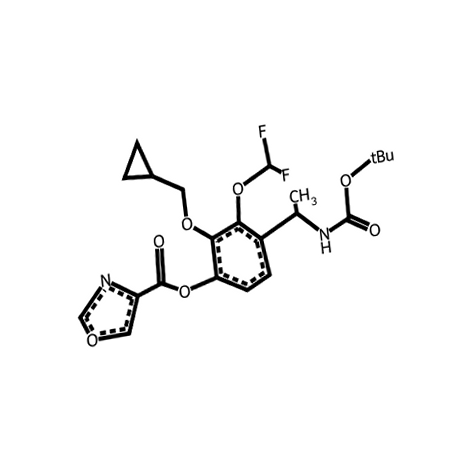 CC(NC(=O)OC(C)(C)C)c1ccc(OC(=O)c2cocn2)c(OCC2CC2)c1OC(F)F